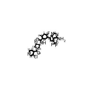 Cc1cc(F)c(-c2cc(C(F)(F)F)c3c(N)ncnn23)cc1C(=O)N[C@@H]1CN(C(=O)c2ccncc2Cl)C[C@@H]1F